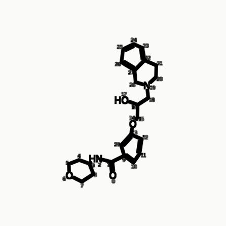 O=C(NC1CCOCC1)c1cccc(OCC(O)CN2CCc3ccccc3C2)c1